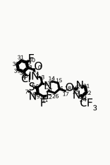 O=C(NCC(c1scnc1C(F)F)N1CCC(COc2nccc(C(F)(F)F)n2)CC1)c1c(F)cccc1Cl